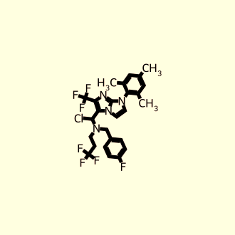 Cc1cc(C)c(-n2ccn3c(C(Cl)N(CCC(F)(F)F)Cc4ccc(F)cc4)c(C(F)(F)F)nc23)c(C)c1